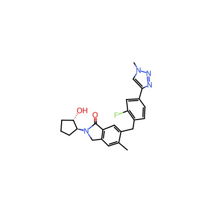 Cc1cc2c(cc1Cc1ccc(-c3cn(C)nn3)cc1F)C(=O)N([C@H]1CCC[C@@H]1O)C2